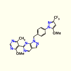 COc1ncnc(C)c1-c1ncc2cnn(Cc3ccc(-n4nc(C(F)(F)F)cc4OC)cc3)c2n1